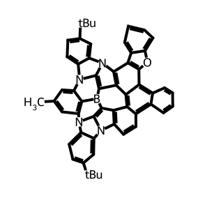 Cc1cc2c3c(c1)-n1c4ccc(C(C)(C)C)cc4n4c5c6c(c14)B3c1c3c4c(ccc3n3c7cc(C(C)(C)C)ccc7n-2c13)c1ccccc1c(c1oc2ccccc2c15)c64